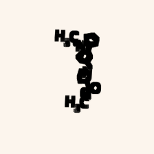 CCOC(=O)C1CCCN(Cc2ccc3c(c2)c2ccccc2n3CC)C1